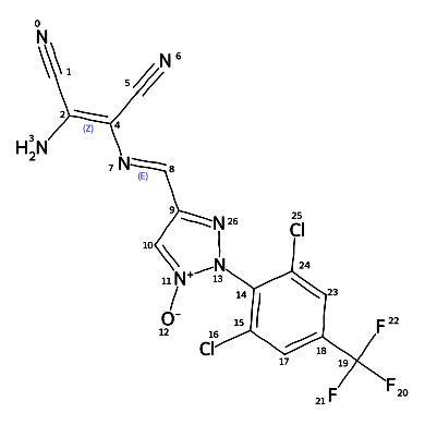 N#C/C(N)=C(C#N)/N=C/c1c[n+]([O-])n(-c2c(Cl)cc(C(F)(F)F)cc2Cl)n1